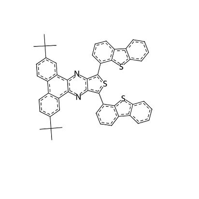 CC(C)(C)c1ccc2c3ccc(C(C)(C)C)cc3c3nc4c(-c5cccc6c5sc5ccccc56)sc(-c5cccc6c5sc5ccccc56)c4nc3c2c1